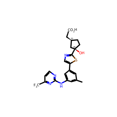 Cc1cc(Nc2nccc(C(F)(F)F)n2)cc(-c2cnc([C@@]3(O)CC[C@H](CC(=O)O)C3)s2)c1